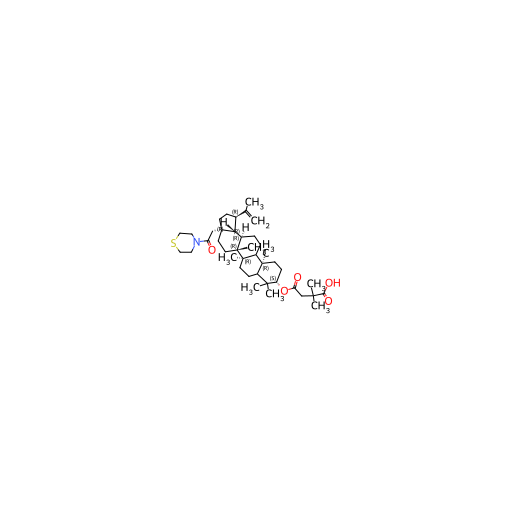 C=C(C)[C@@H]1CC[C@]2(CC(=O)N3CCSCC3)CC[C@]3(C)[C@H](CCC4[C@@]5(C)CC[C@H](OC(=O)CC(C)(C)C(=O)O)C(C)(C)C5CC[C@]43C)[C@@H]12